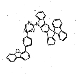 c1ccc2c(c1)-c1ccccc1C21c2ccccc2-c2cc3c(cc21)c1ccccc1n3-c1ncnc(-c2ccc(-c3cccc4c3oc3ccccc34)cc2)n1